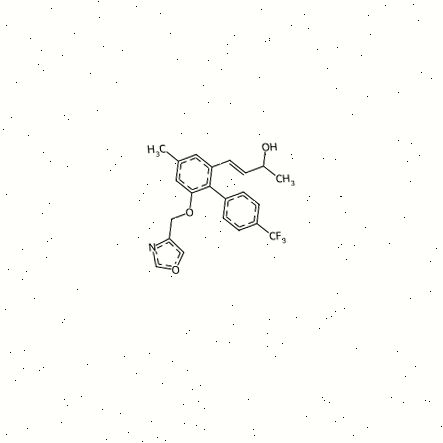 Cc1cc(C=CC(C)O)c(-c2ccc(C(F)(F)F)cc2)c(OCc2cocn2)c1